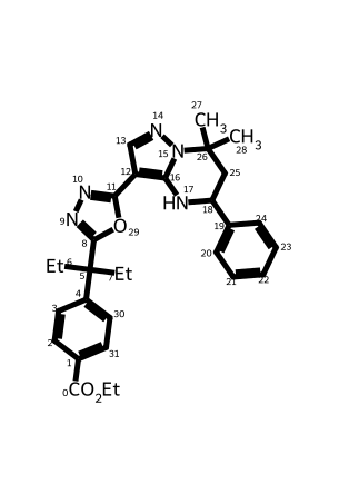 CCOC(=O)c1ccc(C(CC)(CC)c2nnc(-c3cnn4c3NC(c3ccccc3)CC4(C)C)o2)cc1